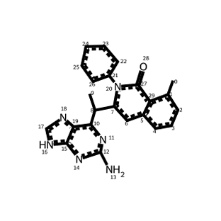 Cc1cccc2cc(C(C)c3nc(N)nc4[nH]cnc34)n(-c3ccccc3)c(=O)c12